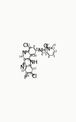 Cc1cccc(CNc2cc(Cl)c3ncc(C#N)c(Nc4ccc(F)c(Cl)c4)c3c2)[n+]1[O-]